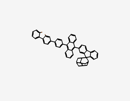 c1ccc2c(c1)-c1ccc(-c3c4ccccc4c(-c4ccc(-c5ccc6c(c5)sc5ccccc56)cc4)c4ccccc34)cc1C21C2CC3CC(C2)CC1C3